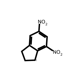 O=[N+]([O-])c1cc2c(c([N+](=O)[O-])c1)[C]CC2